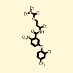 CCC(CCOC(=O)N(CC)CC)NC(=O)c1cc(Oc2ccc(C(F)(F)F)cc2Cl)ccc1[N+](=O)[O-]